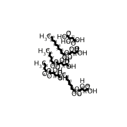 CCCC(=O)OC(=O)C(O)CC(=O)O.CCCCCC(=O)OC(=O)C(O)CC(=O)O.CCCCCCCC(=O)OC(=O)C(O)CC(=O)O.CCCCCCCCCC(=O)OC(=O)C(O)CC(=O)O.O=C(O)CC(O)C(=O)O